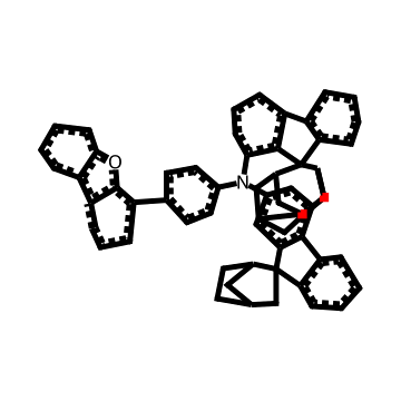 c1ccc2c(c1)-c1ccc(N(c3ccc(-c4cccc5c4oc4ccccc45)cc3)c3cccc4c3C3(c5ccccc5-4)C4CCC5CC(C4)CC3C5)cc1C21CC2CCC1C2